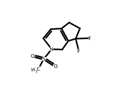 CS(=O)(=O)N1C=CC2=C(C1)C(F)(F)CC2